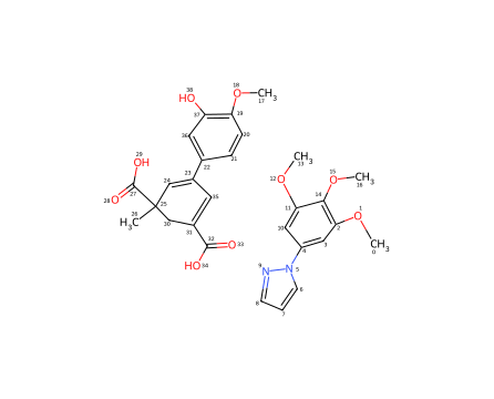 COc1cc(-n2cccn2)cc(OC)c1OC.COc1ccc(C2=CC(C)(C(=O)O)CC(C(=O)O)=C2)cc1O